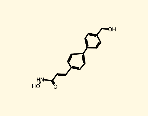 O=C(/C=C/c1ccc(-c2ccc(CO)cc2)cc1)NO